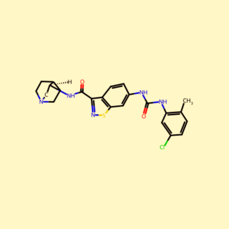 Cc1ccc(Cl)cc1NC(=O)Nc1ccc2c(C(=O)N[C@H]3CN4CCC3CC4)nsc2c1